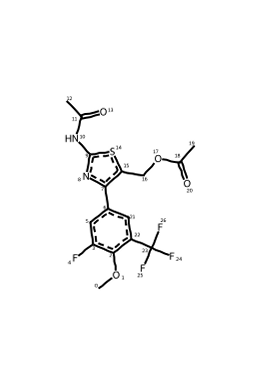 COc1c(F)cc(-c2nc(NC(C)=O)sc2COC(C)=O)cc1C(F)(F)F